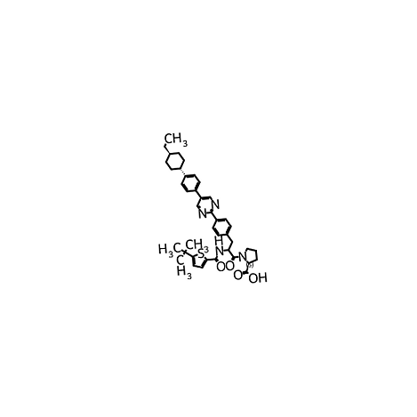 CC[C@H]1CC[C@H](c2ccc(-c3cnc(-c4ccc(CC(NC(=O)c5ccc(C(C)(C)C)s5)C(=O)N5CCC[C@H]5C(=O)O)cc4)nc3)cc2)CC1